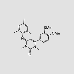 COc1ccc(-c2cc(=Nc3c(C)cc(C)cc3C)n(C)c(=O)n2C)cc1SC